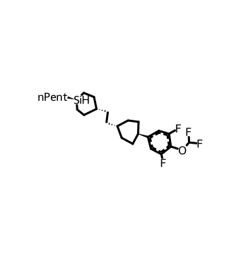 CCCCC[Si@H]1CC[C@H](CC[C@H]2CC[C@H](c3cc(F)c(OC(F)F)c(F)c3)CC2)CC1